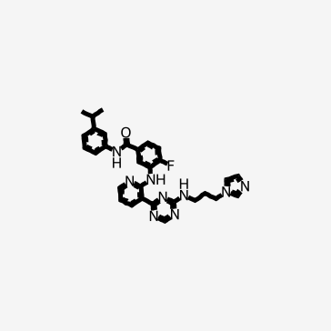 CC(C)c1cccc(NC(=O)c2ccc(F)c(Nc3ncccc3-c3ncnc(NCCCn4ccnc4)n3)c2)c1